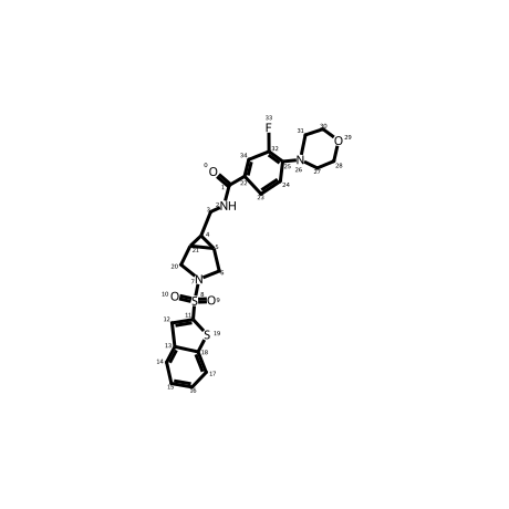 O=C(NCC1C2CN(S(=O)(=O)c3cc4ccccc4s3)CC12)c1ccc(N2CCOCC2)c(F)c1